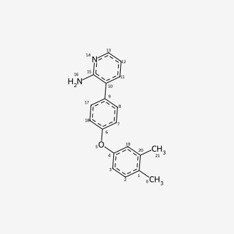 Cc1ccc(Oc2ccc(-c3cccnc3N)cc2)cc1C